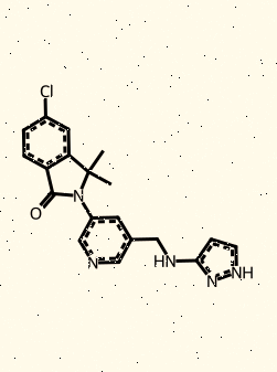 CC1(C)c2cc(Cl)ccc2C(=O)N1c1cncc(CNc2cc[nH]n2)c1